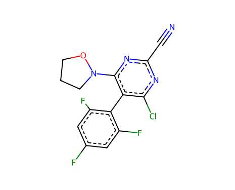 N#Cc1nc(Cl)c(-c2c(F)cc(F)cc2F)c(N2CCCO2)n1